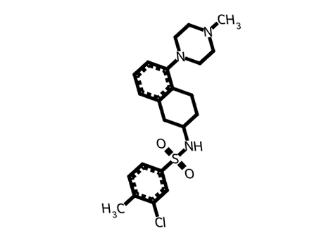 Cc1ccc(S(=O)(=O)NC2CCc3c(cccc3N3CCN(C)CC3)C2)cc1Cl